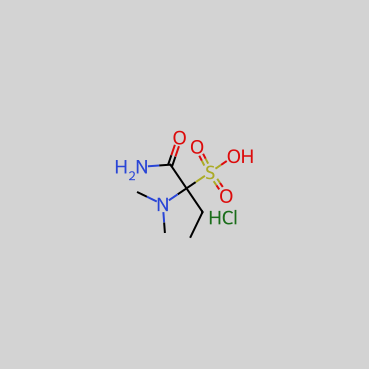 CCC(C(N)=O)(N(C)C)S(=O)(=O)O.Cl